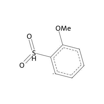 COc1ccc[c]c1[SH](=O)=O